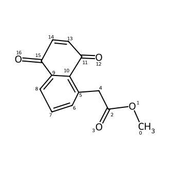 COC(=O)Cc1cccc2c1C(=O)C=CC2=O